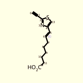 C#Cc1nc(/C=C/CCCCCC(=O)O)cs1